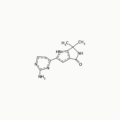 CC1(C)NC(=O)c2cc(-c3ccnc(N)n3)[nH]c21